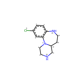 Clc1ccc2c(c1)N1CCNCC1CCN2